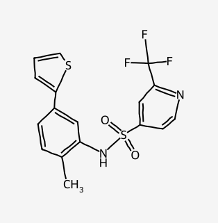 Cc1ccc(-c2cccs2)cc1NS(=O)(=O)c1ccnc(C(F)(F)F)c1